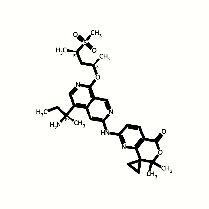 CC[C@@](C)(N)c1cnc(O[C@H](C)C[C@@H](C)S(C)(=O)=O)c2cnc(Nc3ccc4c(n3)C3(CC3)C(C)(C)OC4=O)cc12